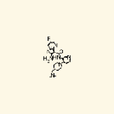 CN(C)CC1CCN(c2ccncc2NC(=O)c2c(N)nn3cc(F)cnc23)CC1